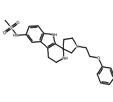 CS(=O)(=O)Nc1ccc2[nH]c3c(c2c1)CCNC31CCN(CCOc2ccccc2)C1